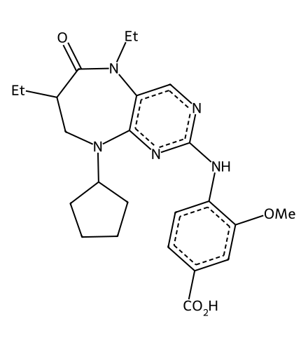 CCC1CN(C2CCCC2)c2nc(Nc3ccc(C(=O)O)cc3OC)ncc2N(CC)C1=O